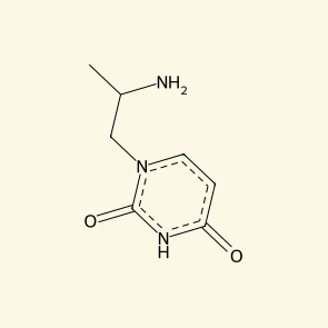 CC(N)Cn1ccc(=O)[nH]c1=O